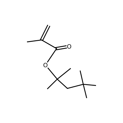 C=C(C)C(=O)OC(C)(C)CC(C)(C)C